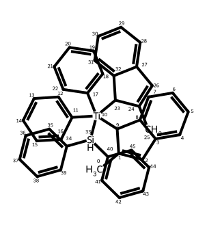 CC1=Cc2ccccc2[CH]1[Ti]([c]1ccccc1)([c]1ccccc1)([CH]1C(C)=Cc2ccccc21)[SiH](c1ccccc1)c1ccccc1